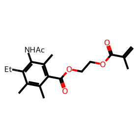 C=C(C)C(=O)OCCOC(=O)c1c(C)c(C)c(CC)c(NC(C)=O)c1C